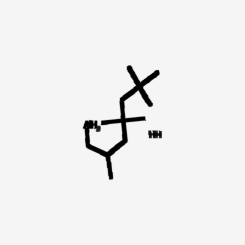 CC([CH2][AlH2])CC(C)(C)CC(C)(C)C.[HH]